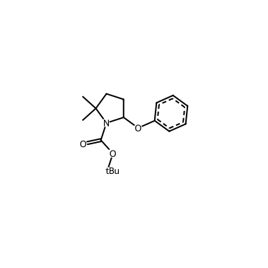 CC(C)(C)OC(=O)N1C(Oc2ccccc2)CCC1(C)C